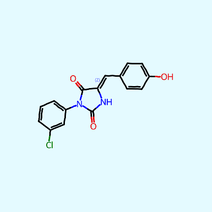 O=C1N/C(=C\c2ccc(O)cc2)C(=O)N1c1cccc(Cl)c1